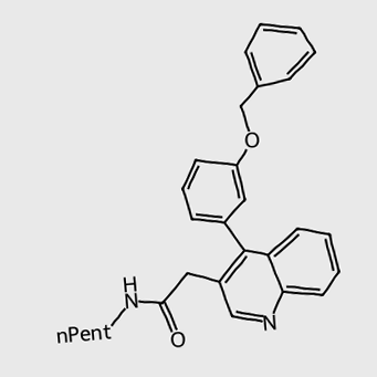 CCCCCNC(=O)Cc1cnc2ccccc2c1-c1cccc(OCc2ccccc2)c1